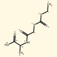 CCOC(=S)SCC(=O)NC(C)C(=O)O